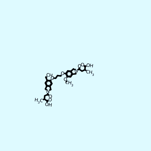 C=Cc1cc2c(cc1OCCCOc1cc3c(cc1OC)CN(C(=O)CC(C)C(=O)O)C3)CN(C(=O)CC(C)C(=O)O)C2